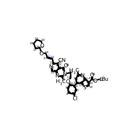 Cc1cc(-c2cc(Cl)ccc2OCCn2c(C)nc3cnc(/C=C/COC4CCCCO4)c(C#N)c3c2=O)c2scc(C(=O)OC(C)(C)C)c2n1